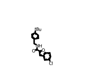 CC(C)(C)c1ccc(CNC(=O)c2cc3cc(Cl)ccc3o2)cc1